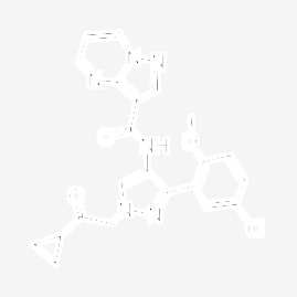 COc1ccc(Cl)cc1-c1nn(CC(=O)C2CC2)cc1NC(=O)c1cnn2cccnc12